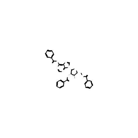 O=C(Nc1ncnc2c1ncn2[C@@H]1O[C@H](COC(=O)c2ccccc2)[C@@H](F)[C@H]1OC(=O)c1ccccc1)c1ccccc1